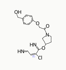 N=C/C=C(/Cl)C(=N)OC1CCN(C(=O)COc2ccc(CO)cc2)C1